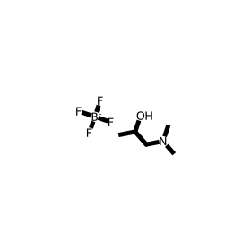 CC(O)CN(C)C.F[B-](F)(F)F